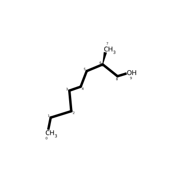 CCCCCC[C@@H](C)CO